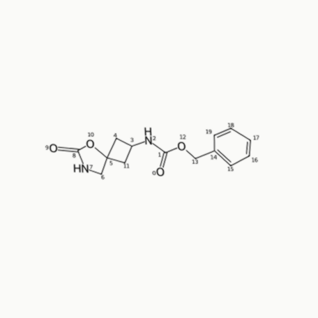 O=C(NC1CC2(CNC(=O)O2)C1)OCc1ccccc1